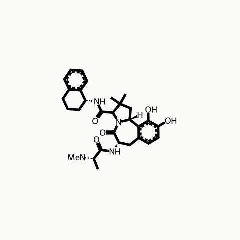 CN[C@@H](C)C(=O)N[C@H]1Cc2ccc(O)c(O)c2[C@H]2CC(C)(C)C(C(=O)N[C@@H]3CCCc4ccccc43)N2C1=O